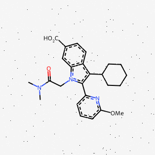 COc1cccc(-c2c(C3CCCCC3)c3ccc(C(=O)O)cc3n2CC(=O)N(C)C)n1